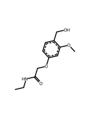 C[CH]NC(=O)COc1ccc(CO)c(OC)c1